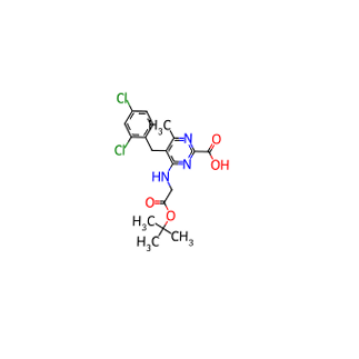 Cc1nc(C(=O)O)nc(NCC(=O)OC(C)(C)C)c1Cc1ccc(Cl)cc1Cl